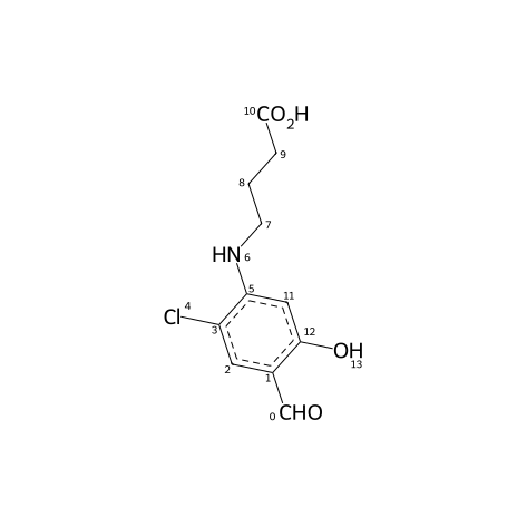 O=Cc1cc(Cl)c(NCCCC(=O)O)cc1O